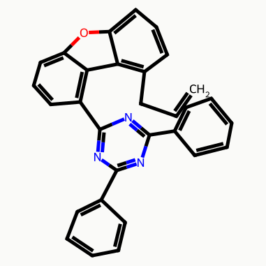 C=CCc1cccc2oc3cccc(-c4nc(-c5ccccc5)nc(-c5ccccc5)n4)c3c12